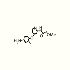 COCC(=O)Nc1cc(Oc2ccc(N)cc2C)ccn1